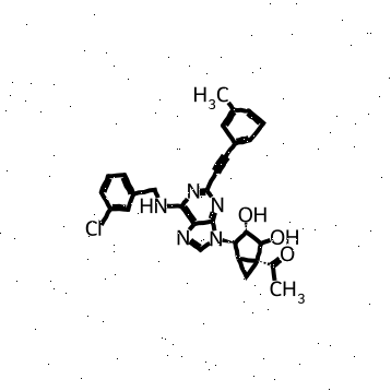 CC(=O)[C@]12CC1[C@@H](n1cnc3c(NCc4cccc(Cl)c4)nc(C#Cc4cccc(C)c4)nc31)[C@H](O)C2O